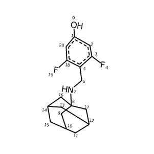 Oc1cc(F)c(CNC23CC4CC(CC(C4)C2)C3)c(F)c1